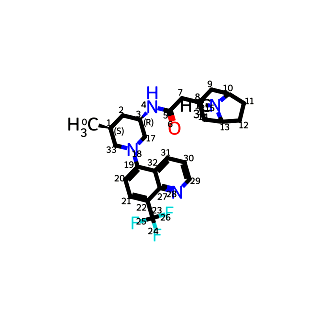 C[C@H]1C[C@@H](NC(=O)CC2CC3CCC(C2)N3C)CN(c2ccc(C(F)(F)F)c3ncccc23)C1